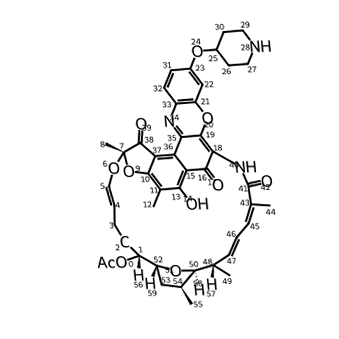 CC(=O)O[C@@H]1CC/C=C/O[C@@]2(C)Oc3c(C)c(O)c4c(=O)c(c5oc6cc(OC7CCNCC7)ccc6nc-5c4c3C2=O)NC(=O)/C(C)=C\C=C\[C@H](C)[C@@H]2O[C@@H]1C[C@@H]2C